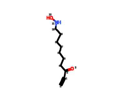 C#CC(=O)CCCCCCCNO